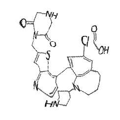 O=C1CNCC(=O)N1Cc1cc2nccc(-c3cc(Cl)cc4c3N(C3CNC3)CCC4)c2s1.O=CO